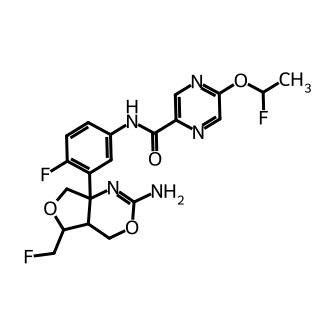 CC(F)Oc1cnc(C(=O)Nc2ccc(F)c(C34COC(CF)C3COC(N)=N4)c2)cn1